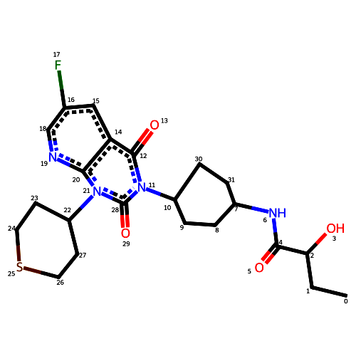 CCC(O)C(=O)NC1CCC(n2c(=O)c3cc(F)cnc3n(C3CCSCC3)c2=O)CC1